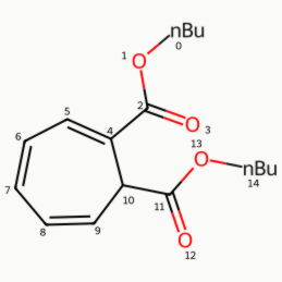 CCCCOC(=O)C1=CC=CC=CC1C(=O)OCCCC